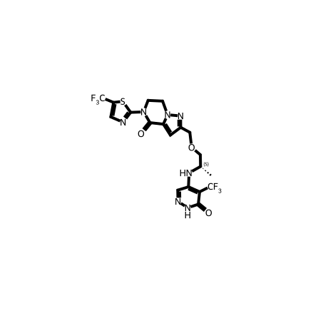 C[C@@H](COCc1cc2n(n1)CCN(c1ncc(C(F)(F)F)s1)C2=O)Nc1cn[nH]c(=O)c1C(F)(F)F